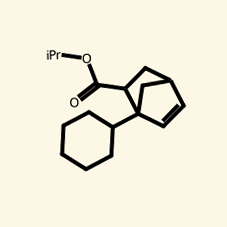 CC(C)OC(=O)C1CC2C=CC1(C1CCCCC1)C2